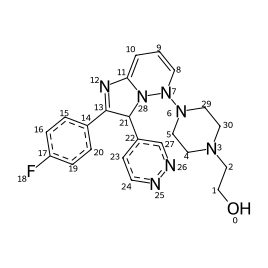 OCCN1CCN(N2C=CC=C3N=C(c4ccc(F)cc4)C(c4ccnnc4)N32)CC1